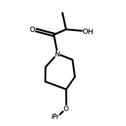 CC(C)OC1CCN(C(=O)C(C)O)CC1